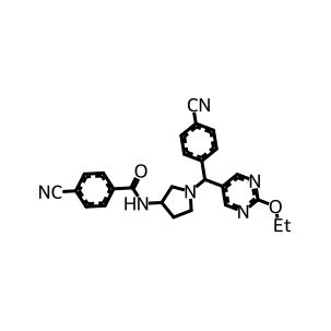 CCOc1ncc(C(c2ccc(C#N)cc2)N2CCC(NC(=O)c3ccc(C#N)cc3)C2)cn1